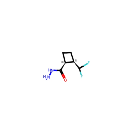 NNC(=O)[C@H]1CC[C@H]1C(F)F